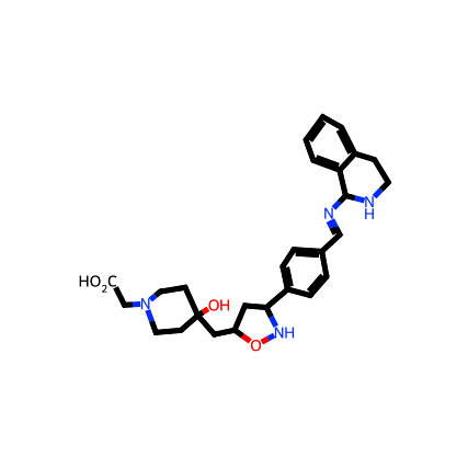 O=C(O)CN1CCC(O)(CC2CC(c3ccc(C=NC4NCCc5ccccc54)cc3)NO2)CC1